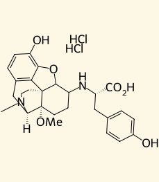 CO[C@@]12CCC(N[C@@H](Cc3ccc(O)cc3)C(=O)O)C3Oc4c(O)ccc5c4[C@@]31CCN(C)[C@@H]2C5.Cl.Cl